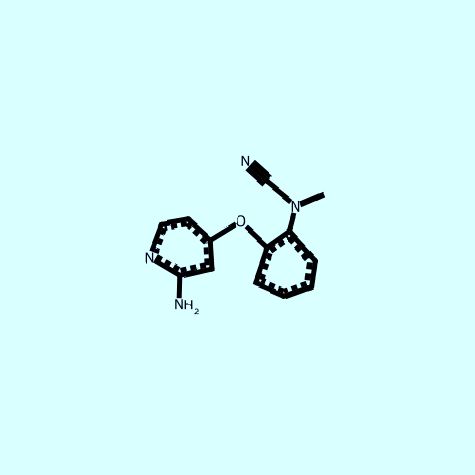 CN(C#N)c1ccccc1Oc1ccnc(N)c1